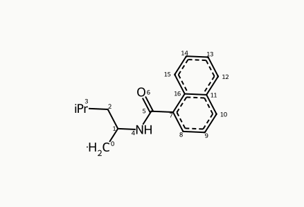 [CH2]C(CC(C)C)NC(=O)c1cccc2ccccc12